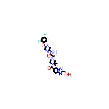 C[C@@H](C(=O)Nc1cnc(Oc2ccc(F)cc2F)cn1)N1CCN(C(=O)c2ccc3nc(CO)nn3c2)C(C)(C)C1